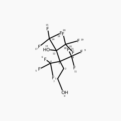 OCCC(C(F)(F)F)(C(F)(F)F)C(O)(C(F)(F)F)C(F)(F)F